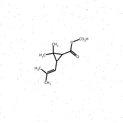 CC(C)=CC1C(C(=O)OC(=O)O)C1(C)C